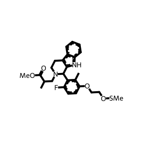 COC(=O)C(C)CN1CCc2c([nH]c3ccccc23)C1c1c(F)ccc(OCCOSC)c1C